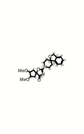 COC1CC2(CC1OC)OC(N1CCC3(CC1)OCc1ccccc13)=NC2=O